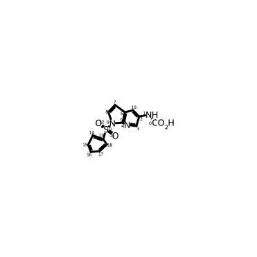 O=C(O)Nc1cnc2c(ccn2S(=O)(=O)c2ccccc2)c1